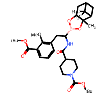 COc1c(CC(NC(=O)C2CCN(C(=O)OC(C)(C)C)CC2)B2OC3CC4CC(C4(C)C)C3(C)O2)cccc1C(=O)OC(C)(C)C